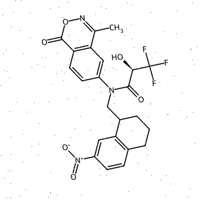 Cc1noc(=O)c2ccc(N(CC3CCCc4ccc([N+](=O)[O-])cc43)C(=O)[C@@H](O)C(F)(F)F)cc12